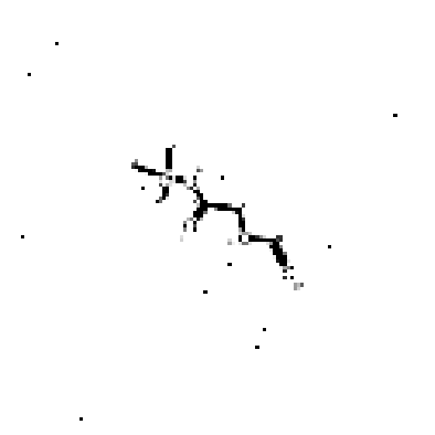 C[Si](C)(C)OC(=O)COC=O